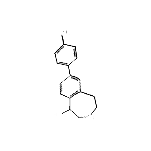 Cc1ccc(-c2ccc3c(c2)CCNCC3C)cc1